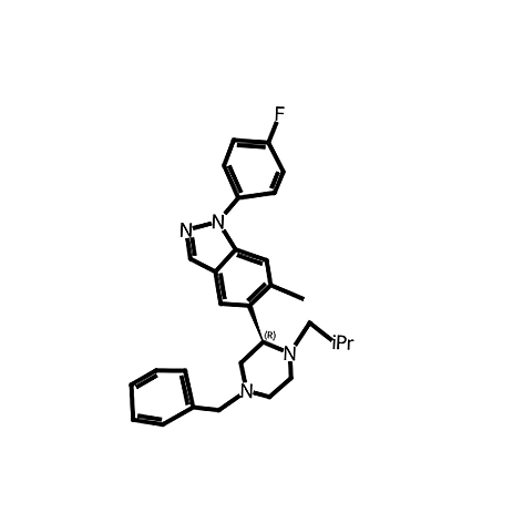 Cc1cc2c(cnn2-c2ccc(F)cc2)cc1[C@@H]1CN(Cc2ccccc2)CCN1CC(C)C